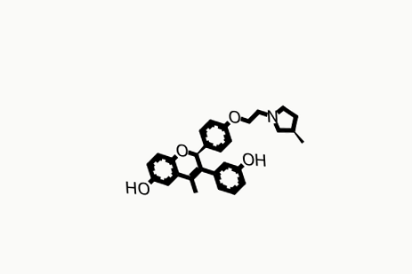 CC1=C(c2cccc(O)c2)[C@H](c2ccc(OCCN3CC[C@@H](C)C3)cc2)Oc2ccc(O)cc21